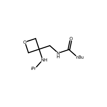 CCCCC(=O)NCC1(NC(C)C)COC1